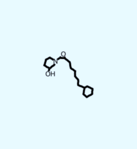 OC1CCCN(C2OC2CCCCCCC2CCCCC2)C1